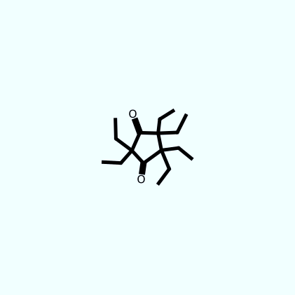 CCC1(CC)C(=O)C(CC)(CC)C(CC)(CC)C1=O